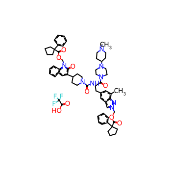 Cc1cc(CC(NC(=O)N2CCC(c3cc4ccccc4n(COC(=O)C4(c5ccccc5)CCCC4)c3=O)CC2)C(=O)N2CCN(C3CCN(C)CC3)CC2)cc2cn(COC(=O)C3(c4ccccc4)CCCC3)nc12.O=C(O)C(F)(F)F